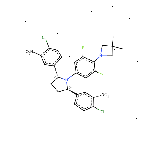 CC1(C)CN(c2c(F)cc(N3[C@@H](c4ccc(Cl)c([N+](=O)[O-])c4)CC[C@@H]3c3ccc(Cl)c([N+](=O)[O-])c3)cc2F)C1